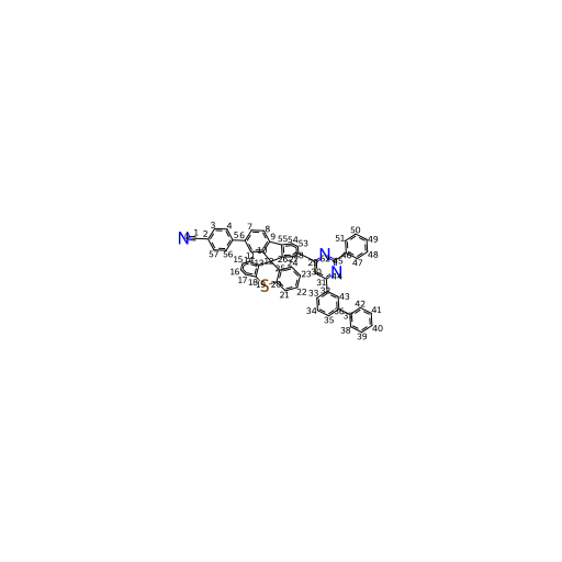 N#Cc1ccc(-c2ccc3c(c2)C2(c4ccccc4Sc4ccccc42)c2cc(-c4cc(-c5cccc(-c6ccccc6)c5)nc(-c5ccccc5)n4)ccc2-3)cc1